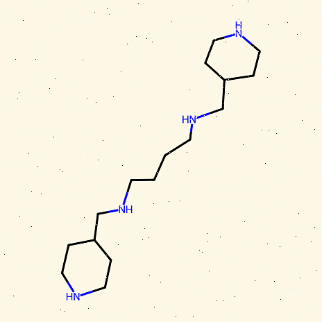 C(CCNCC1CCNCC1)CNCC1CCNCC1